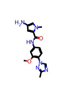 COc1cc(NC(=O)c2cc(N)cn2C)ccc1-n1cnc(C)n1